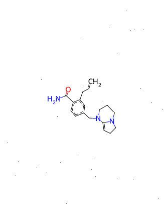 C=CCc1cc(CN2CCCN3CCC=C32)ccc1C(N)=O